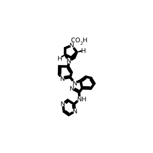 O=C(O)N1C[C@@H]2C[C@H]1CN2c1ccnc(-n2nc(Nc3cnccn3)c3ccccc32)c1